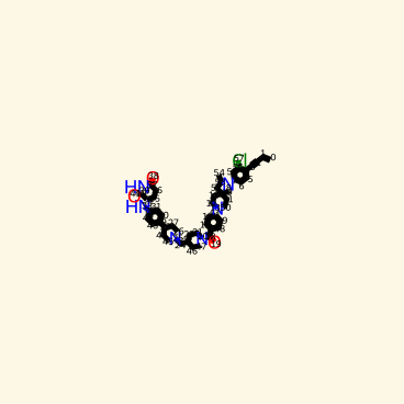 C=CC#Cc1ccc(N2CC3(CCN(c4ccc(C(=O)N5CCC(CN6CCC(c7ccc(NC8CCC(=O)NC8=O)cc7)CC6)CC5)cc4)CC3)CC2C)cc1Cl